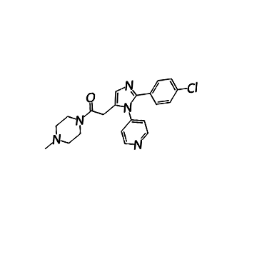 CN1CCN(C(=O)Cc2cnc(-c3ccc(Cl)cc3)n2-c2ccncc2)CC1